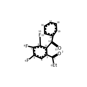 CCC(=O)c1cc(F)c(F)c(F)c1C(=O)c1ccccc1